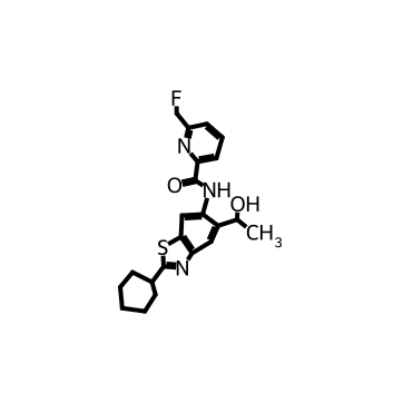 CC(O)c1cc2nc(C3CCCCC3)sc2cc1NC(=O)c1cccc(CF)n1